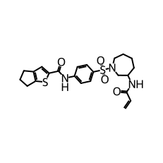 C=CC(=O)NC1CCCCN(S(=O)(=O)c2ccc(NC(=O)c3cc4c(s3)CCC4)cc2)C1